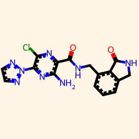 Nc1nc(-n2nccn2)c(Cl)nc1C(=O)NCc1cccc2c1C(=O)NC2